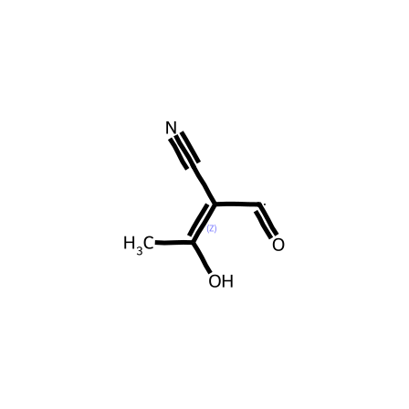 C/C(O)=C(/[C]=O)C#N